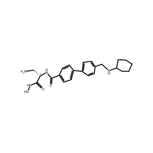 NC[C@H](NC(=O)c1ccc(-c2ccc(CNC3CCCCC3)cc2)cc1)C(=O)NO